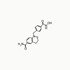 NC(=O)c1ccc2c(c1)CCSN2Cc1ccc(C(=O)NO)cc1